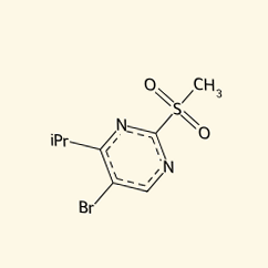 CC(C)c1nc(S(C)(=O)=O)ncc1Br